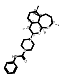 C[C@@H]1[C@@H]2CC[C@@H](C)[C@@H]3CC[C@H](C)O[C@@H](O[C@H]1N1CCN(C(=O)Nc4ccccc4)CC1)C23